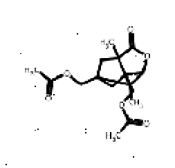 CC(=O)OCC12CC3(C)C(=O)OC(C1C)C3(COC(C)=O)C2